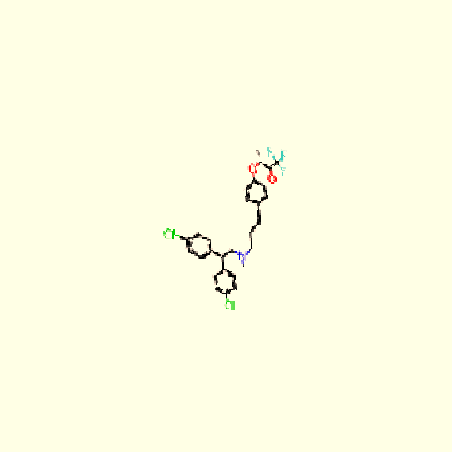 C[C@@H](Oc1ccc(CCCN(C)CC(c2ccc(Cl)cc2)c2ccc(Cl)cc2)cc1)C(=O)C(F)(F)F